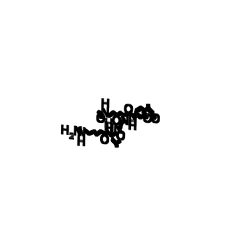 CC(=O)NCCCC[C@H](NC(=O)CNC(=O)[C@@H](CC(C)C)NC(=O)CCCCCNN)C(=O)Nc1ccc2c(C)cc(=O)oc2c1